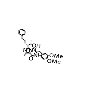 COc1ccc(Cc2nn3c([C@H](CCCc4ccccc4)[C@H](C)O)nc(C)c3c(=O)[nH]2)cc1OC